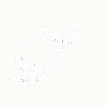 CC(C)CCOC(=O)[C@H](C)NP(=O)(OC[C@@H]1C=C[C@H](n2cnc3c(NC4CC4)nc(N)nc32)C1)Oc1ccccc1